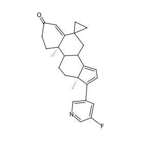 C[C@]12CCC3C(CC4(CC4)C4=CC(=O)CC[C@@]43C)C1=CC=C2c1cncc(F)c1